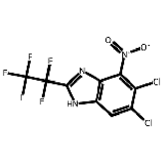 O=[N+]([O-])c1c(Cl)c(Cl)cc2[nH]c(C(F)(F)C(F)(F)F)nc12